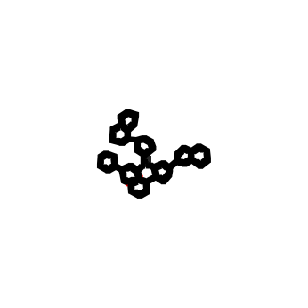 c1ccc(-c2cccc(N(c3cccc(-c4cccc5ccccc45)c3)c3cc(-c4ccc5ccccc5c4)ccc3-c3ccccc3)c2)cc1